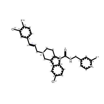 O=C(NCc1ccnc(F)c1)n1c2c(c3cc(Cl)ccc31)CN(C/C=C/c1ccc(F)c(Cl)c1)CC2